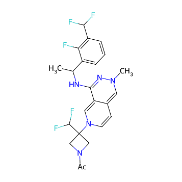 CC(=O)N1CC(C(F)F)(N2C=CC3=CN(C)N=C(NC(C)c4cccc(C(F)F)c4F)C3=C2)C1